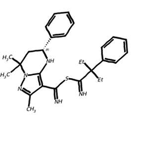 CCC(CC)(C(=N)SC(=N)c1c(C)nn2c1N[C@@H](c1ccccc1)CC2(C)C)c1ccccc1